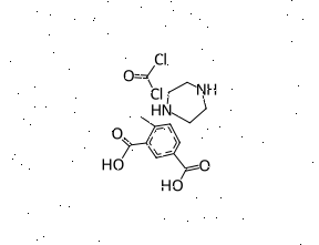 C1CNCCN1.Cc1ccc(C(=O)O)cc1C(=O)O.O=C(Cl)Cl